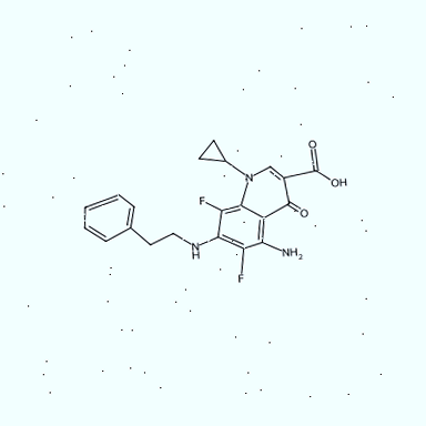 Nc1c(F)c(NCCc2ccccc2)c(F)c2c1c(=O)c(C(=O)O)cn2C1CC1